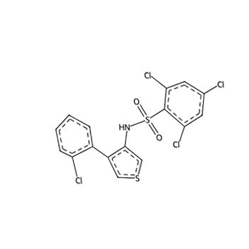 O=S(=O)(Nc1cscc1-c1ccccc1Cl)c1c(Cl)cc(Cl)cc1Cl